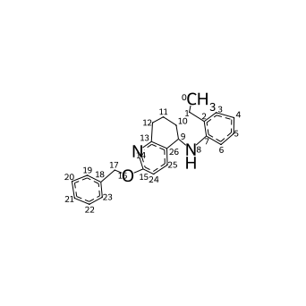 CCc1ccccc1NC1CCCc2nc(OCc3ccccc3)ccc21